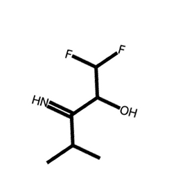 CC(C)C(=N)C(O)C(F)F